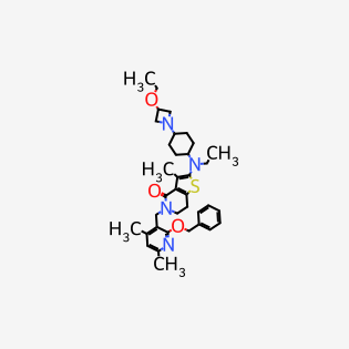 CCOC1CN(C2CCC(N(CC)c3sc4c(c3C)C(=O)N(Cc3c(C)cc(C)nc3OCc3ccccc3)CC4)CC2)C1